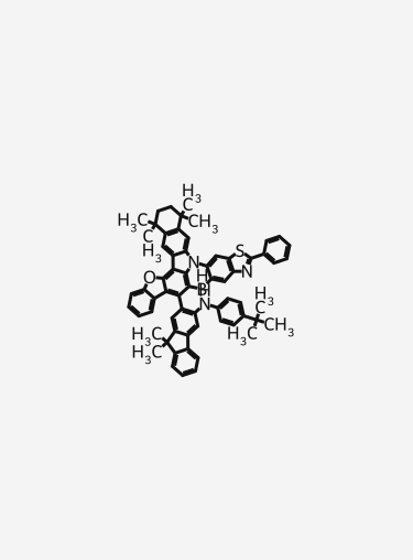 CC(C)(C)c1ccc(Nc2cc3c(cc2-c2c4c5c(c6cc7c(cc6n5-c5cc6sc(-c8ccccc8)nc6cc5B4)C(C)(C)CCC7(C)C)c4oc5ccccc5c24)C(C)(C)c2ccccc2-3)cc1